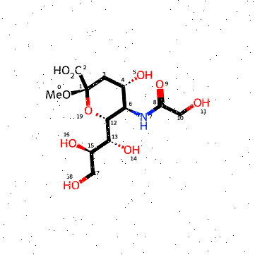 CO[C@@]1(C(=O)O)C[C@H](O)[C@@H](NC(=O)CO)[C@H]([C@H](O)[C@H](O)CO)O1